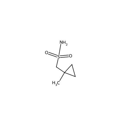 CC1(CS(N)(=O)=O)CC1